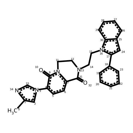 Cc1cn(-c2ccc3n(c2=O)CCN(CCn2c(-c4ccccc4)cc4ccccc42)C3=O)cn1